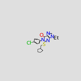 CCn1cnc2c(=O)n(-c3ccc(Cl)cc3)c(SCC3CCCC3)nc21